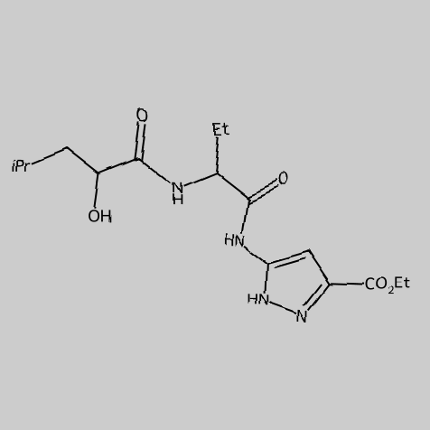 CCOC(=O)c1cc(NC(=O)C(CC)NC(=O)C(O)CC(C)C)[nH]n1